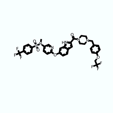 CN(c1ccc(Oc2ccc3cc(C(=O)N4CCN(Cc5ccc(OCC(F)(F)F)cc5)CC4)[nH]c3c2)nc1)S(=O)(=O)c1ccc(C(F)(F)F)cc1